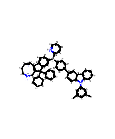 Cc1cc(C)cc(N2c3ccccc3C3C=C(c4ccc(B(c5ccc6c(c5)C(C5=CC=CCC5)(c5ccccc5)C5=C6/C=C\CCNC5)c5ccccn5)cc4)C=CC32)c1